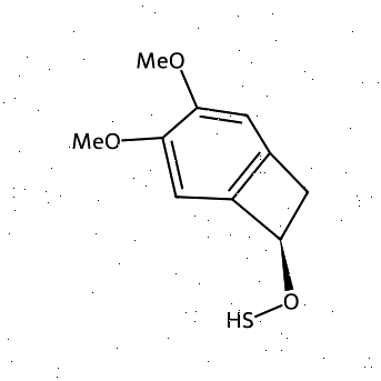 COc1cc2c(cc1OC)[C@H](OS)C2